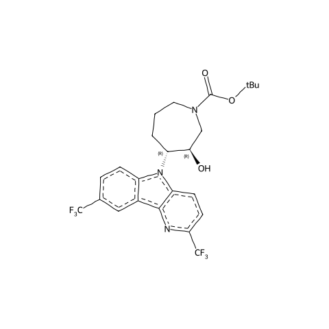 CC(C)(C)OC(=O)N1CCC[C@@H](n2c3ccc(C(F)(F)F)cc3c3nc(C(F)(F)F)ccc32)[C@H](O)C1